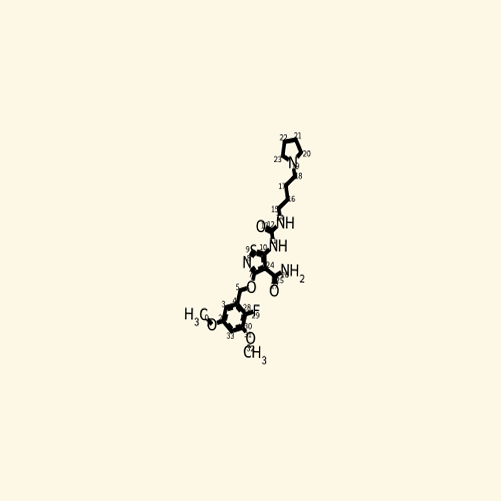 COc1cc(COc2nsc(NC(=O)NCCCCN3CCCC3)c2C(N)=O)c(F)c(OC)c1